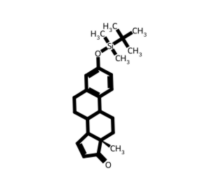 CC(C)(C)[Si](C)(C)Oc1ccc2c(c1)CCC1C2CC[C@]2(C)C(=O)C=CC12